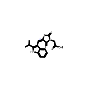 CC(C)c1[nH]c2ccccc2c1/C=C1/SC(=S)N(CC(=O)O)C1=O